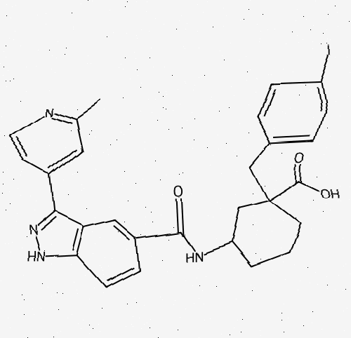 Cc1cc(-c2n[nH]c3ccc(C(=O)NC4CCCC(Cc5ccc(I)cc5)(C(=O)O)C4)cc23)ccn1